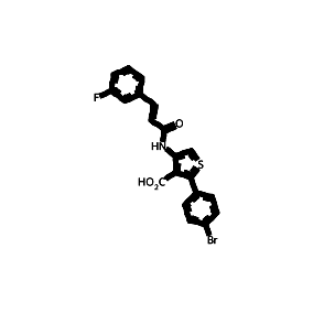 O=C(/C=C/c1cccc(F)c1)Nc1csc(-c2ccc(Br)cc2)c1C(=O)O